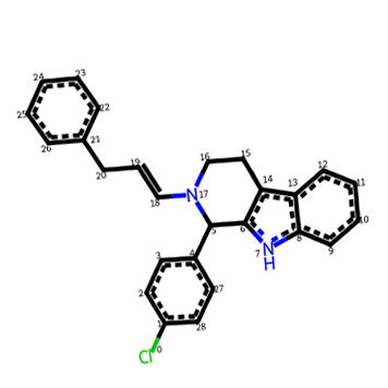 Clc1ccc(C2c3[nH]c4ccccc4c3CCN2/C=C/Cc2ccccc2)cc1